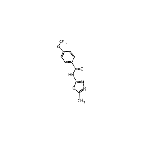 Cc1nnc(NC(=O)c2ccc(OC(F)(F)F)cc2)o1